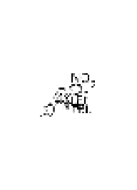 CCC(N(NC(=O)c1ccc(C)cc1)C(=O)c1cc(C)cc([N+](=O)[O-])c1)C(C)(C)C